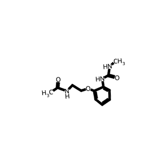 CNC(=O)Nc1ccccc1OCCNC(C)=O